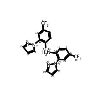 FC(F)(F)c1ccc(I)c(-n2cccn2)c1.Nc1ccc(C(F)(F)F)cc1-n1cccn1